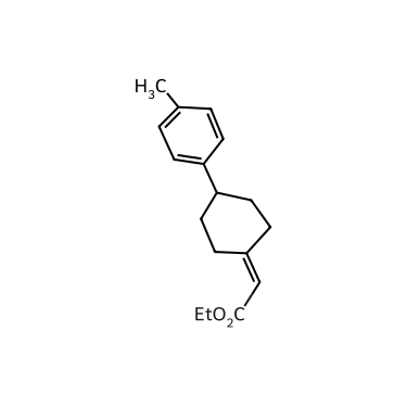 CCOC(=O)C=C1CCC(c2ccc(C)cc2)CC1